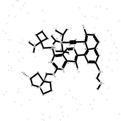 COCOc1cc(-c2ncc3c(NCC4(N(C)C)CCC4)nc(OC[C@@]45CCCN4C[C@H](F)C5)nc3c2F)c2c(C#C[Si](C(C)C)(C(C)C)C(C)C)c(F)ccc2c1